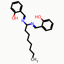 CCCCCCCC(N=Cc1ccccc1O)N=Cc1ccccc1O